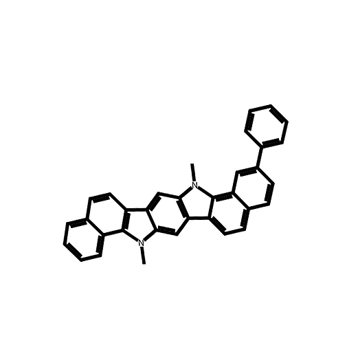 Cn1c2cc3c4ccc5ccc(-c6ccccc6)cc5c4n(C)c3cc2c2ccc3ccccc3c21